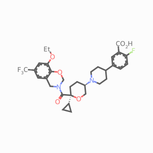 CCOc1cc(C(F)(F)F)cc2c1OCN(C(=O)[C@@]1(C3CC3)CC[C@@H](N3CCC(c4ccc(F)c(C(=O)O)c4)CC3)CO1)C2